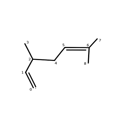 [CH]=CC(C)CC=C(C)C